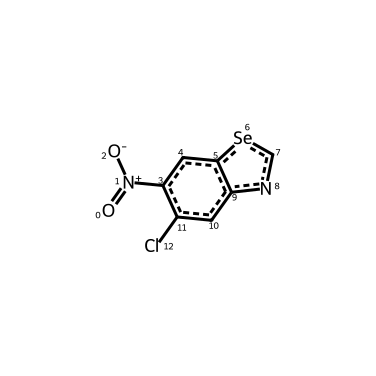 O=[N+]([O-])c1cc2[se]cnc2cc1Cl